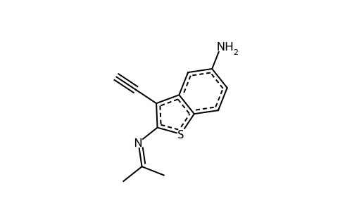 C#Cc1c(N=C(C)C)sc2ccc(N)cc12